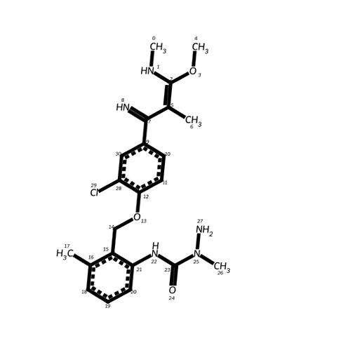 CN/C(OC)=C(/C)C(=N)c1ccc(OCc2c(C)cccc2NC(=O)N(C)N)c(Cl)c1